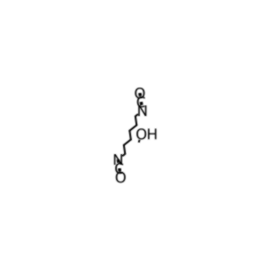 CO.O=C=NCCCCCCN=C=O